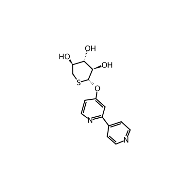 O[C@@H]1[C@@H](O)[C@H](Oc2ccnc(-c3ccncc3)c2)SC[C@H]1O